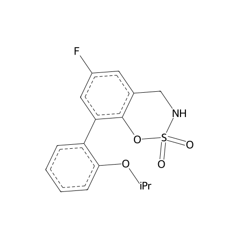 CC(C)Oc1ccccc1-c1cc(F)cc2c1OS(=O)(=O)NC2